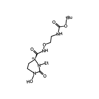 CCN1C(=O)N(O)CC[C@H]1C(=O)NOCCNC(=O)OC(C)(C)C